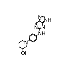 OC1CCCN(c2ccc(Nc3ncc4nc[nH]c4n3)cc2)C1